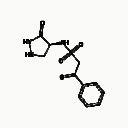 O=C(CS(=O)(=O)N[C@H]1CNNC1=O)c1ccccc1